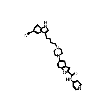 N#Cc1ccc2[nH]cc(CCCCN3CCN(c4ccc5oc(C(=O)Nc6ccncc6)cc5c4)CC3)c2c1